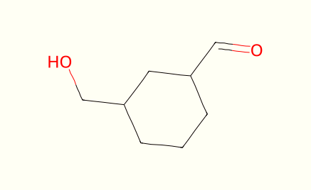 O=CC1CCCC(CO)C1